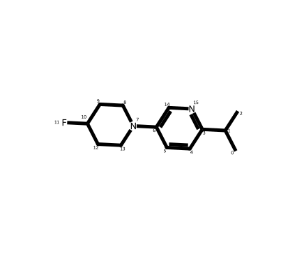 CC(C)c1ccc(N2CCC(F)CC2)cn1